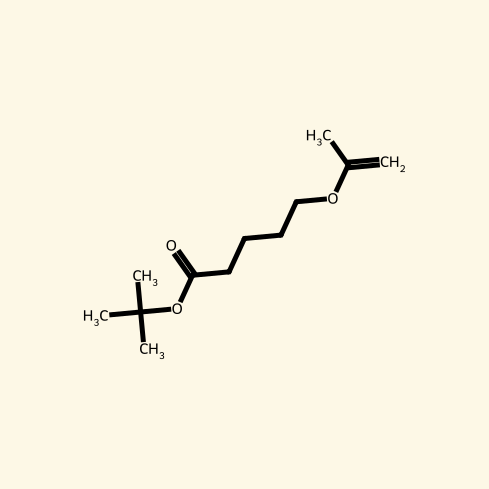 C=C(C)OCCCCC(=O)OC(C)(C)C